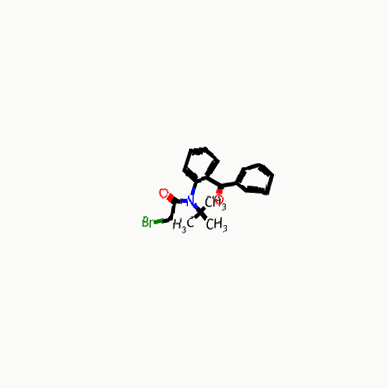 CC(C)(C)N(C(=O)CBr)c1ccccc1C(=O)c1ccccc1